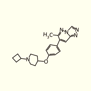 Cc1nn2cnnc2cc1-c1ccc(OC2CCN(C3CCC3)CC2)cc1